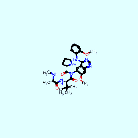 CN[C@@H](C)C(=O)N[C@H](C(=O)N(C(=O)[C@@H]1CCCN1)c1cc2c(Nc3ccccc3OC)ncnc2cc1OC)C(C)(C)C